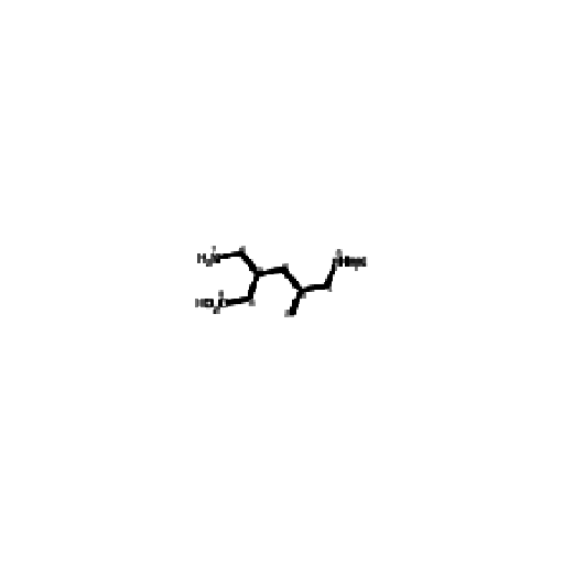 CCCCCCCCC(C)CC(CN)CC(=O)O